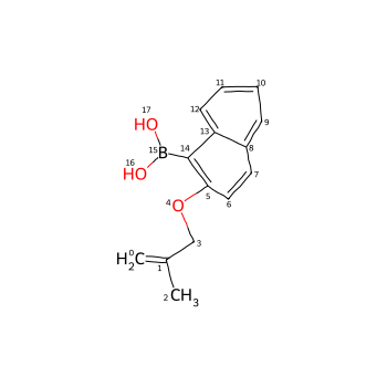 C=C(C)COc1ccc2ccccc2c1B(O)O